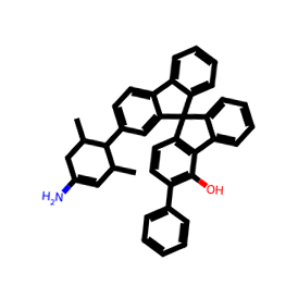 CC1C=C(N)CC(C)C1c1ccc2c(c1)C1(c3ccccc3-2)c2ccccc2-c2c1ccc(-c1ccccc1)c2O